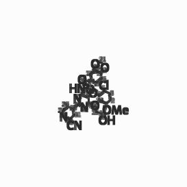 COc1ccc(Cl)c(Oc2c(NS(=O)(=O)c3ccc4c(c3)OCO4)nc(-c3ccnc(C#N)c3)nc2OCCO)c1